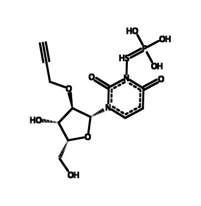 C#CCO[C@@H]1[C@@H](O)[C@@H](CO)O[C@H]1n1ccc(=O)n([SH]=P(O)(O)O)c1=O